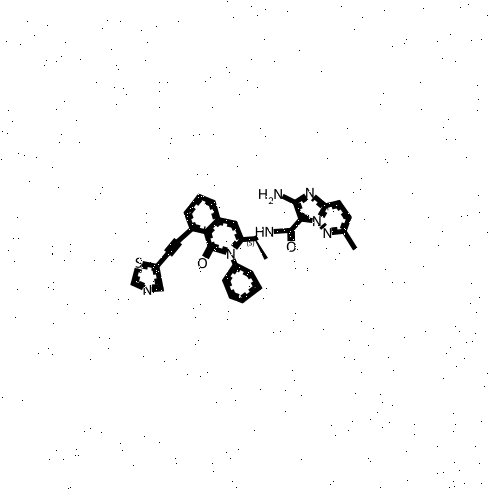 Cc1ccc2nc(N)c(C(=O)N[C@@H](C)c3cc4cccc(C#Cc5cncs5)c4c(=O)n3-c3ccccc3)n2n1